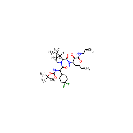 C=CCCC(NC(=O)C1[C@@H]2[C@H](CN1C(=O)C(NC(=O)OC(C)(C)C)C1CCC(F)(F)CC1)C2(C)C)C(=O)C(=O)NCC=C